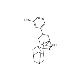 OOC1(O[C@]23CC(c4cccc(O)c4)CCC2C3)C2CC3CC(C2)CC1C3